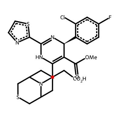 COC(=O)C1=C(CN2C3CSCC2CC(CC(=O)O)C3)NC(c2nccs2)=N[C@H]1c1ccc(F)cc1Cl